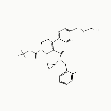 CC(C)(C)OC(=O)N1CCC(c2ccc(OCCO)cc2)=C(C(=O)N(Cc2ccccc2Cl)C2CC2)C1